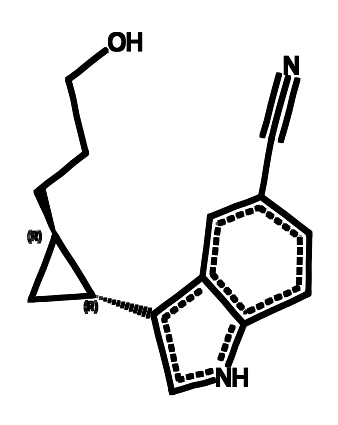 N#Cc1ccc2[nH]cc([C@@H]3C[C@H]3CCCO)c2c1